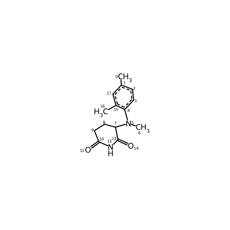 Cc1ccc(N(C)C2CCC(=O)NC2=O)c(C)c1